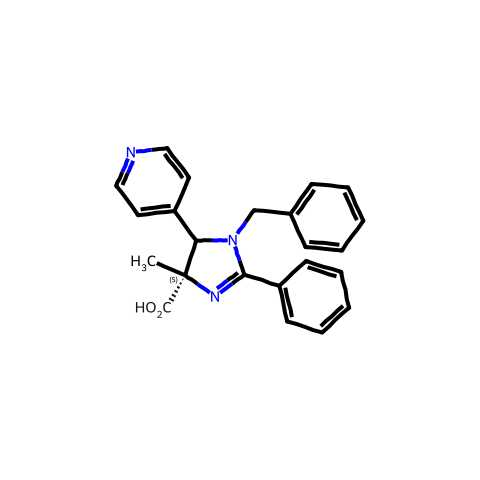 C[C@]1(C(=O)O)N=C(c2ccccc2)N(Cc2ccccc2)C1c1ccncc1